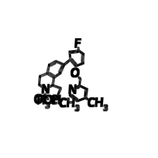 Cc1ccnc(COc2ccc(F)cc2-c2ccc3c(c2)C(CC(C)C)N(C(=O)O)CC3)c1